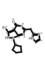 CCc1[nH]n(C2CCCC2)c2nc(Cc3ncc[nH]3)nc(=O)c1-2